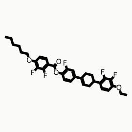 CCCCCCOc1ccc(C(=O)Oc2ccc(C3=CCC(c4ccc(OCC)c(F)c4F)CC3)cc2F)c(F)c1F